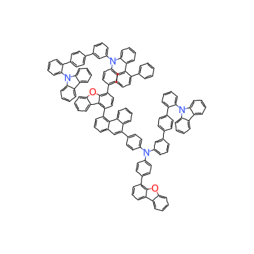 c1ccc(-c2ccccc2-c2ccccc2N(c2ccc(-c3ccc(-c4cccc5cc(-c6ccc(N(c7ccc(-c8cccc9c8oc8ccccc89)cc7)c7cccc(-c8ccc(-c9ccccc9-n9c%10ccccc%10c%10ccccc%109)cc8)c7)cc6)c6ccccc6c45)c4c3oc3ccccc34)cc2)c2cccc(-c3ccc(-c4ccccc4-n4c5ccccc5c5ccccc54)cc3)c2)cc1